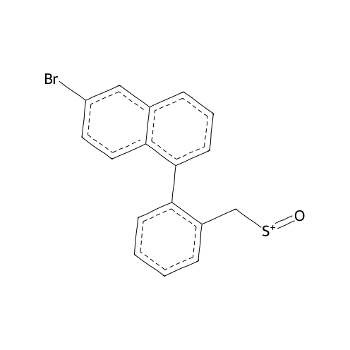 O=[S+]Cc1ccccc1-c1cccc2cc(Br)ccc12